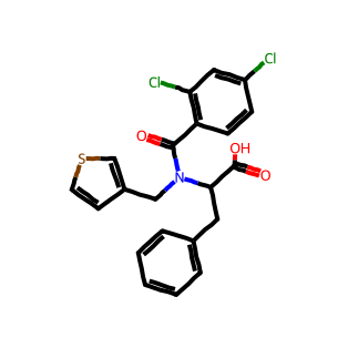 O=C(O)C(Cc1ccccc1)N(Cc1ccsc1)C(=O)c1ccc(Cl)cc1Cl